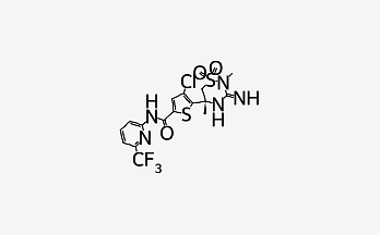 CN1C(=N)N[C@](C)(c2sc(C(=O)Nc3cccc(C(F)(F)F)n3)cc2Cl)CS1(=O)=O